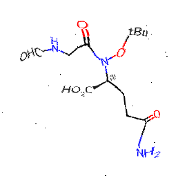 CC(C)(C)ON(C(=O)CNC=O)[C@@H](CCC(N)=O)C(=O)O